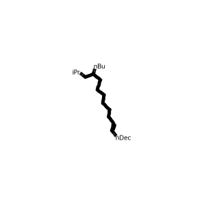 [CH2]CCCCCCCCCC=CCCCCCCC(CCC[CH2])CC(C)C